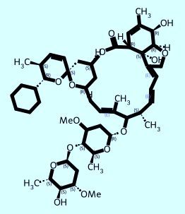 COC1C[C@H](OC2/C(C)=C/C[C@@H]3C[C@@H](C[C@]4(C=C[C@H](C)[C@@H](C5CCCCC5)O4)O3)OC(=O)[C@@H]3C=C(C)[C@@H](O)[C@H]4OC/C(=C\C=C\[C@@H]2C)[C@]43O)O[C@@H](C)[C@@H]1O[C@H]1C[C@H](OC)[C@@H](O)[C@H](C)O1